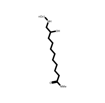 CCCCCCCCNCC(O)CCCCCCCCC(=O)NC